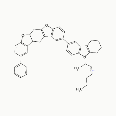 CCC/C=C\C(C)n1c2c(c3cc(-c4ccc5oc6c(c5c4)CC4c5cc(-c7ccccc7)ccc5OC4C6)ccc31)CCCC2